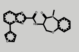 CN1C(=O)C(NC(=O)c2nc3cccc(-c4ccoc4)n3n2)COc2ccccc21